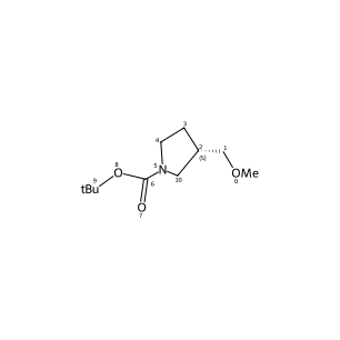 COC[C@H]1CCN(C(=O)OC(C)(C)C)C1